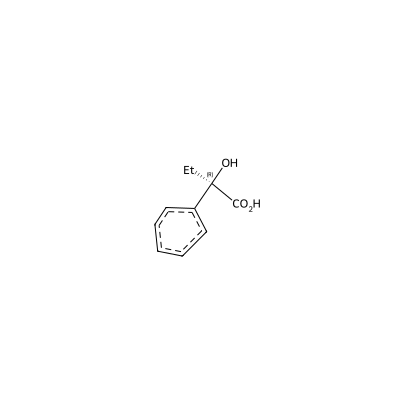 CC[C@](O)(C(=O)O)c1ccccc1